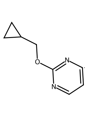 [c]1ccnc(OCC2CC2)n1